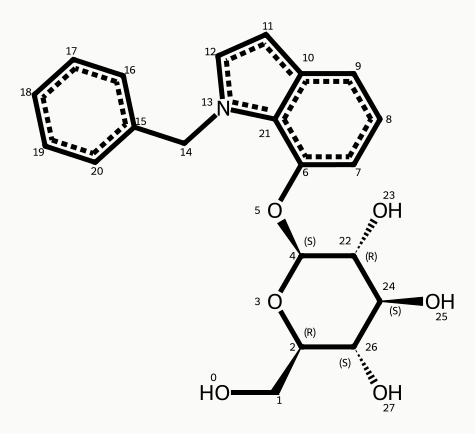 OC[C@H]1O[C@@H](Oc2cccc3ccn(Cc4ccccc4)c23)[C@H](O)[C@@H](O)[C@@H]1O